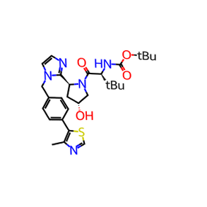 Cc1ncsc1-c1ccc(Cn2ccnc2[C@@H]2C[C@@H](O)CN2C(=O)[C@@H](NC(=O)OC(C)(C)C)C(C)(C)C)cc1